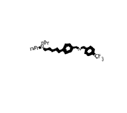 CCCN(CCC)CCCC[CH]c1ccc(CN=Cc2ccc(C(F)(F)F)cc2)cc1